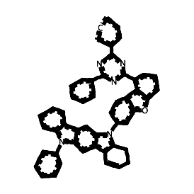 C1=Cc2c(n(-c3ccc4c(c3)oc3cccc(-c5nc(-c6ccccc6)nc(-c6ccccc6)n5)c34)c3cc4c5ccccc5n(-c5ccccc5)c4cc23)CC1